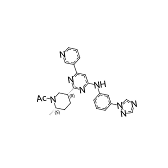 CC(=O)N1C[C@H](c2nc(Nc3cccc(-n4cncn4)c3)cc(-c3cccnc3)n2)CC[C@@H]1C